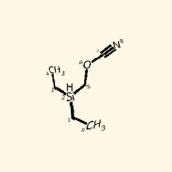 CC[SiH](CC)COC#N